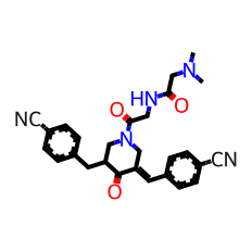 CN(C)CC(=O)NCC(=O)N1C/C(=C\c2ccc(C#N)cc2)C(=O)C(Cc2ccc(C#N)cc2)C1